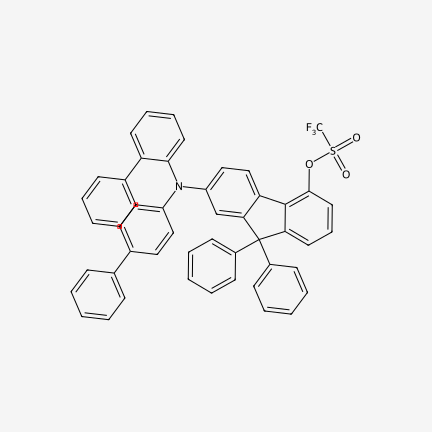 O=S(=O)(Oc1cccc2c1-c1ccc(N(c3ccc(-c4ccccc4)cc3)c3ccccc3-c3ccccc3)cc1C2(c1ccccc1)c1ccccc1)C(F)(F)F